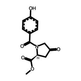 COC(=O)[C@@H]1CC(=O)CN1C(=O)c1ccc(O)cc1